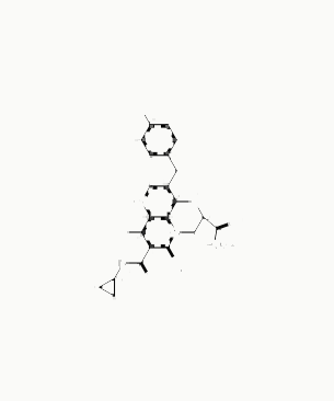 CNC(=O)[C@@]1(C)Cn2c(=O)c(C(=O)NC3CC3)c(O)c3ncc(Cc4ccc(F)cc4)c(c32)O1